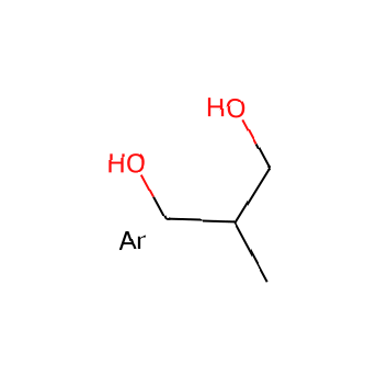 CC(CO)CO.[Ar]